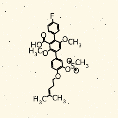 COc1cc(-c2ccc(OCCC=C(C)C)c(OS(C)(=O)=O)c2)c(OC)c(C(=O)O)c1-c1ccc(F)cc1